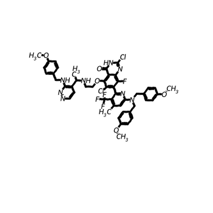 COc1ccc(CNc2nnccc2C(C)NCCOc2c(Cl)c(-c3nc(N(Cc4ccc(OC)cc4)Cc4ccc(OC)cc4)cc(C)c3C(F)(F)F)c(F)c3nc(Cl)[nH]c(=O)c23)cc1